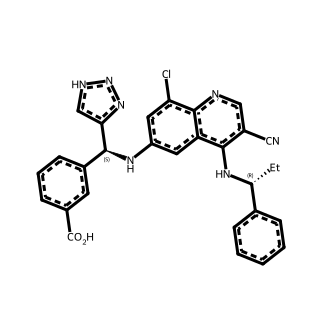 CC[C@@H](Nc1c(C#N)cnc2c(Cl)cc(N[C@@H](c3cccc(C(=O)O)c3)c3c[nH]nn3)cc12)c1ccccc1